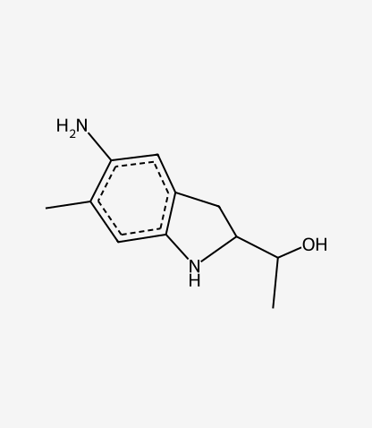 Cc1cc2c(cc1N)CC(C(C)O)N2